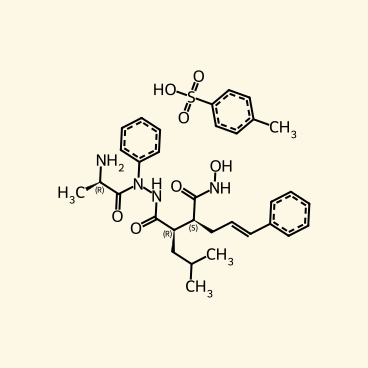 CC(C)C[C@@H](C(=O)NN(C(=O)[C@@H](C)N)c1ccccc1)[C@H](CC=Cc1ccccc1)C(=O)NO.Cc1ccc(S(=O)(=O)O)cc1